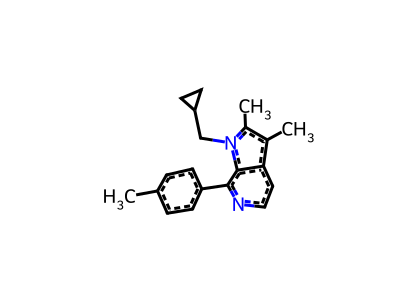 Cc1ccc(-c2nccc3c(C)c(C)n(CC4CC4)c23)cc1